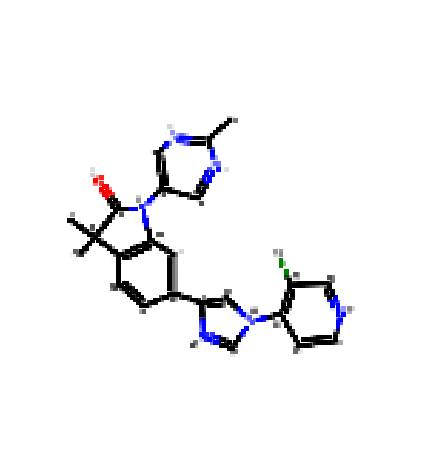 Cc1ncc(N2C(=O)C(C)(C)c3ccc(-c4cn(-c5ccncc5F)cn4)cc32)cn1